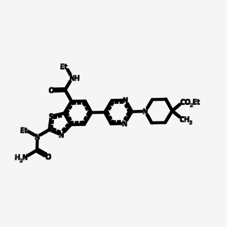 CCNC(=O)c1cc(-c2cnc(N3CCC(C)(C(=O)OCC)CC3)nc2)cc2nc(N(CC)C(N)=O)sc12